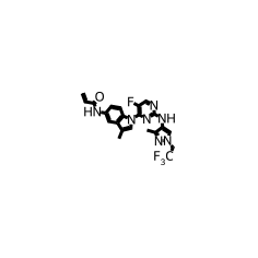 C=CC(=O)Nc1ccc2c(c1)c(C)cn2-c1nc(Nc2cn(CC(F)(F)F)nc2C)ncc1F